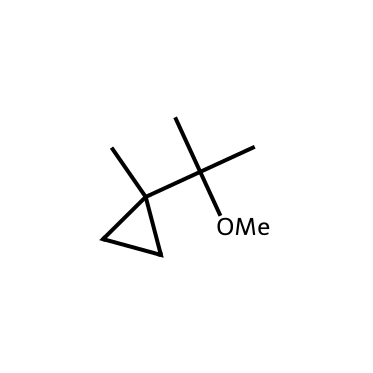 COC(C)(C)C1(C)CC1